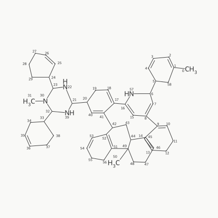 CC1=CC=CC(C2C=C(C3=CCCC=C3)C=C(C3=CCC(C4NC(C5C=CCCC5)N(C)C(C5CC=CCC5)N4)C=C3C3CC4C=CCCC4(C)C4=C3C=CCC4)N2)C1